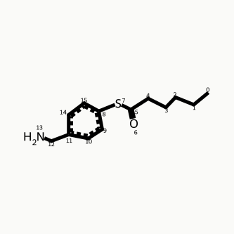 CCCCCC(=O)Sc1ccc(CN)cc1